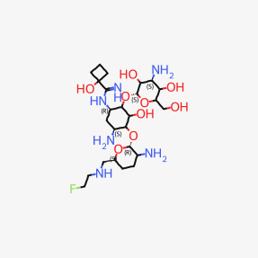 N=C(N[C@@H]1C[C@H](N)C(O[C@H]2O[C@H](CNCCF)CCC2N)C(O)C1O[C@H]1OC(CO)C(O)[C@H](N)C1O)C1(O)CCC1